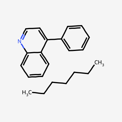 CCCCCCC.c1ccc(-c2ccnc3ccccc23)cc1